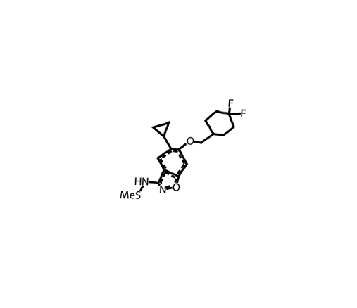 CSNc1noc2cc(OCC3CCC(F)(F)CC3)c(C3CC3)cc12